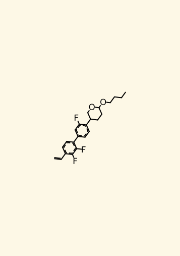 C=Cc1ccc(-c2ccc(C3CCC(OCCCC)OC3)c(F)c2)c(F)c1F